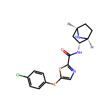 O=C(N[C@@H]1C[C@H]2CC[C@@H]1N2)c1ncc(Sc2ccc(Cl)cc2)s1